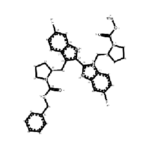 CC(C)(C)OC(=O)N1CCC[C@H]1Cn1c(-c2[nH]c3cc(F)ccc3c2C[C@@H]2CCCN2C(=O)OCc2ccccc2)nc2cc(F)ccc21